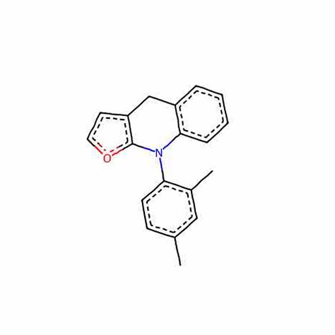 Cc1ccc(N2c3ccccc3Cc3ccoc32)c(C)c1